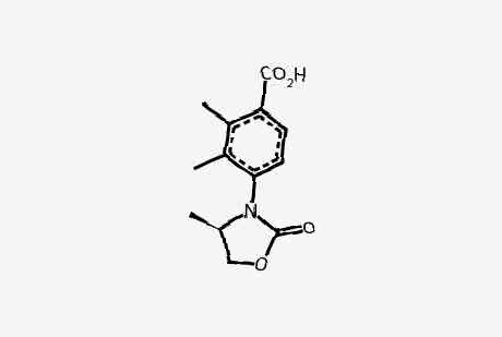 Cc1c(C(=O)O)ccc(N2C(=O)OC[C@H]2C)c1C